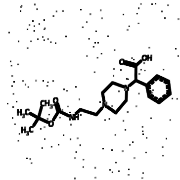 CC(C)(C)OC(=O)NCCN1CCN(C(C(=O)O)c2ccccc2)CC1